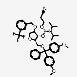 COc1ccc(C(OC[C@H]2OC[C@H](OCc3cccc(C(F)(F)F)c3)[C@@H]2OP(OCCC#N)N(C(C)C)C(C)C)(c2ccccc2)c2ccc(OC)cc2)cc1